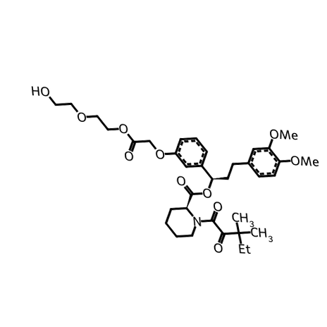 CCC(C)(C)C(=O)C(=O)N1CCCC[C@H]1C(=O)O[C@H](CCc1ccc(OC)c(OC)c1)c1cccc(OCC(=O)OCCOCCO)c1